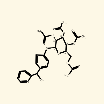 CC(=O)OC[C@H]1O[C@@H](Oc2ccc(C(O)c3ccccn3)cc2)[C@H](OC(C)=O)[C@@H](OC(C)=O)[C@H]1OC(C)=O